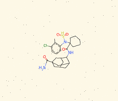 Cc1c(Cl)cccc1N([SH](=O)=O)C1(C(=O)NC2C3CC4CC2CC(C(N)=O)(C4)C3)CCCCC1